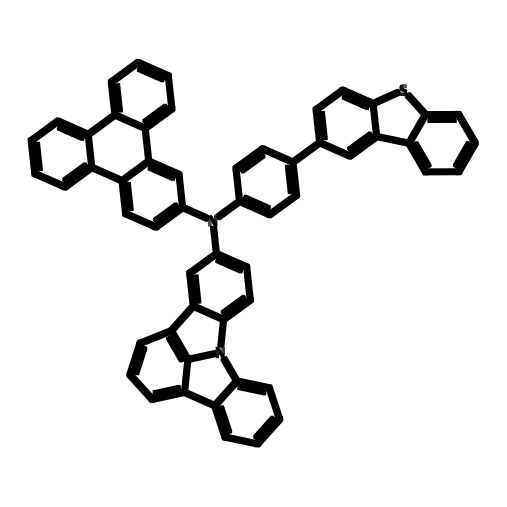 c1ccc2c(c1)sc1ccc(-c3ccc(N(c4ccc5c6ccccc6c6ccccc6c5c4)c4ccc5c(c4)c4cccc6c7ccccc7n5c64)cc3)cc12